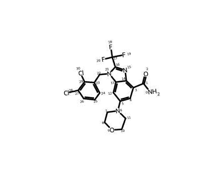 NC(=O)c1cc(N2CCOCC2)cc2c1nc(C(F)(F)F)n2Cc1cccc(Cl)c1Cl